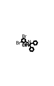 Oc1c(Br)cc(Br)cc1-c1nc(-c2ccccc2)c(-c2ccccc2)[nH]1